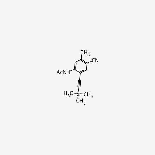 CC(=O)Nc1cc(C)c(C#N)cc1C#C[Si](C)(C)C